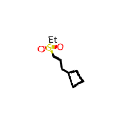 CCS(=O)(=O)CCCC1CCC1